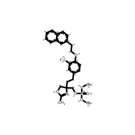 CC1=NC(CCc2ccc(OCCc3ccc4ccccc4c3)c(C(F)(F)F)c2)(COP(=O)(OC(C)(C)C)OC(C)(C)C)CO1